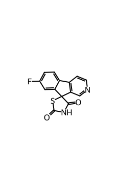 O=C1NC(=O)C2(S1)c1cnccc1-c1ccc(F)cc12